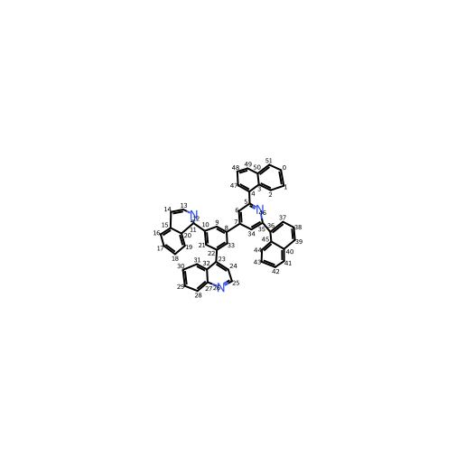 c1ccc2c(-c3cc(-c4cc(-c5nccc6ccccc56)cc(-c5ccnc6ccccc56)c4)cc(-c4cccc5ccccc45)n3)cccc2c1